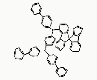 c1ccc(-c2ccc(N(c3ccc(-c4ccccc4)cc3)c3ccc(N(c4ccc(-c5ccccc5)cc4)c4cccc5c4-c4ccccc4C54c5ccccc5-c5ccccc54)cc3)cc2)cc1